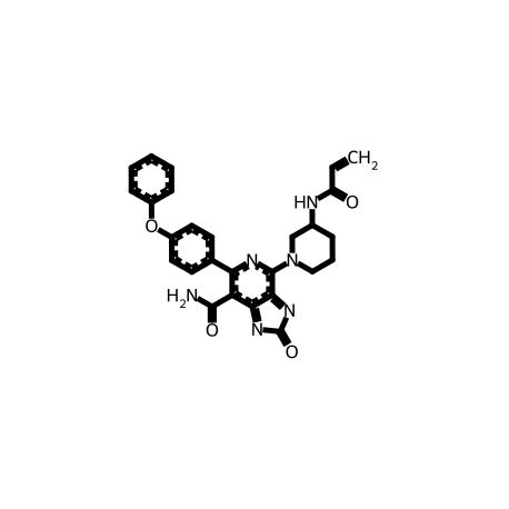 C=CC(=O)NC1CCCN(c2nc(-c3ccc(Oc4ccccc4)cc3)c(C(N)=O)c3c2=NC(=O)N=3)C1